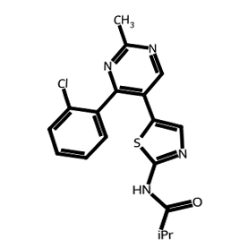 Cc1ncc(-c2cnc(NC(=O)C(C)C)s2)c(-c2ccccc2Cl)n1